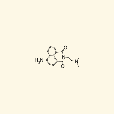 CN(C)CCN1C(=O)c2cccc3c(N)ccc(c23)C1=O